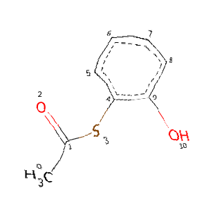 CC(=O)Sc1ccccc1O